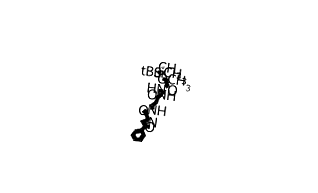 C[C@@H](O[Si](C)(C)C(C)(C)C)C(=O)NNC(=O)CCNC(=O)c1cc(-c2ccccc2)on1